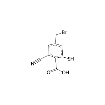 N#Cc1cc(CBr)cc(S)c1C(=O)O